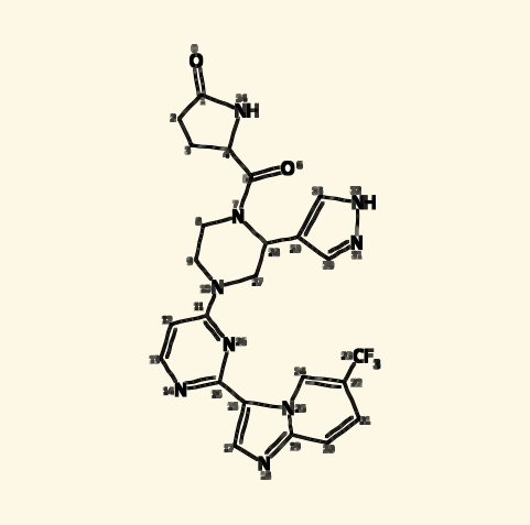 O=C1CCC(C(=O)N2CCN(c3ccnc(-c4cnc5ccc(C(F)(F)F)cn45)n3)CC2c2cn[nH]c2)N1